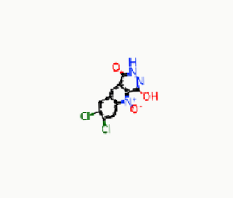 O=c1[nH]nc(O)c2c1cc1cc(Cl)c(Cl)cc1[n+]2[O-]